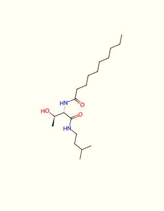 CCCCCCCCCC(=O)N[C@H](C(=O)NCCC(C)C)[C@@H](C)O